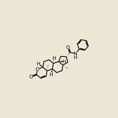 C[C@]12CC[C@H]3[C@@H](CC[C@H]4OC(=O)C=C[C@@]43C)[C@@H]1C[C@H](C(=O)Nc1ccccc1)C2